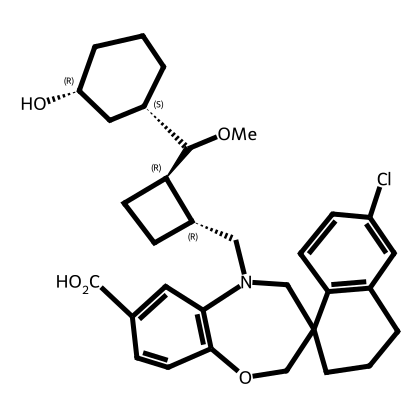 COC([C@H]1CCC[C@@H](O)C1)[C@@H]1CC[C@H]1CN1CC2(CCCc3cc(Cl)ccc32)COc2ccc(C(=O)O)cc21